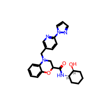 O=C(N[C@H]1CCCC[C@@H]1O)C1CN(Cc2ccc(-n3cccn3)nc2)c2ccccc2O1